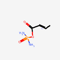 C/C=C/C(=O)OP(N)(N)=O